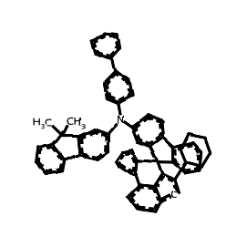 CC1(C)c2ccccc2-c2ccc(N(c3ccc(-c4ccccc4)cc3)c3ccc4c(c3)C3(c5ccccc5-4)c4ccccc4-c4cccc5ccc(C6CCCCC6)c3c45)cc21